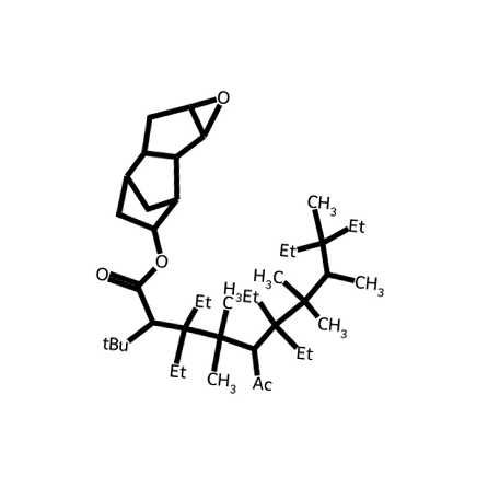 CCC(C)(CC)C(C)C(C)(C)C(CC)(CC)C(C(C)=O)C(C)(C)C(CC)(CC)C(C(=O)OC1CC2CC1C1C2CC2OC21)C(C)(C)C